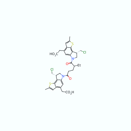 CCC(CCC(=O)N1C[C@@H](CCl)c2c1cc(CC(=O)O)c1cc(C)sc21)C(=O)N1C[C@@H](CCl)c2c1cc(CC(=O)O)c1cc(C)sc21